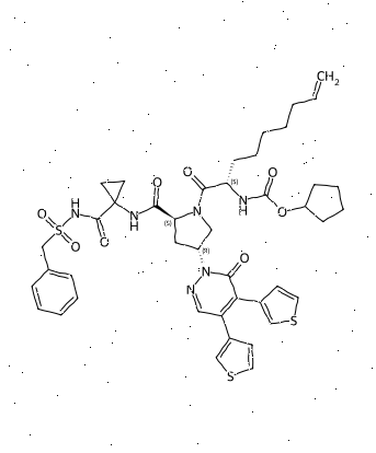 C=CCCCCC[C@H](NC(=O)OC1CCCC1)C(=O)N1C[C@H](n2ncc(-c3ccsc3)c(-c3ccsc3)c2=O)C[C@H]1C(=O)NC1(C(=O)NS(=O)(=O)Cc2ccccc2)CC1